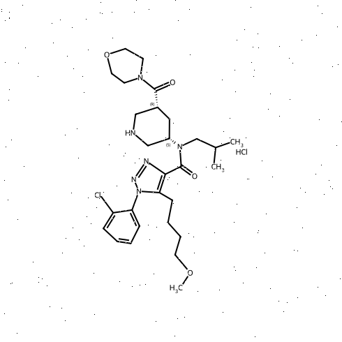 COCCCCc1c(C(=O)N(CC(C)C)[C@@H]2CNC[C@H](C(=O)N3CCOCC3)C2)nnn1-c1ccccc1Cl.Cl